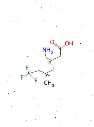 C[C@@H](C[C@H](CN)CC(=O)O)CC(F)(F)F